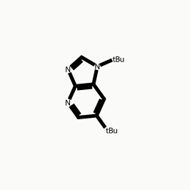 CC(C)(C)c1cnc2ncn(C(C)(C)C)c2c1